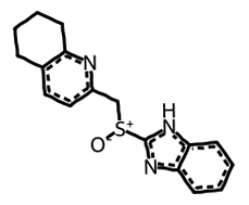 [O-][S+](Cc1ccc2c(n1)CCCC2)c1nc2ccccc2[nH]1